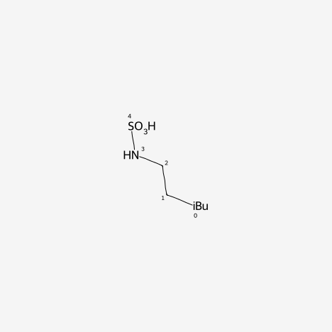 CCC(C)CCNS(=O)(=O)O